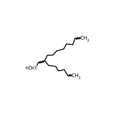 C=CCCCCCCC(=CCCCCCCCC)CCCCC=C